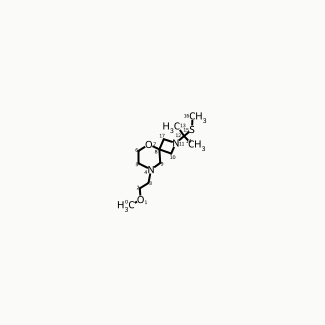 COCCN1CCOC2(C1)CN(C(C)(C)SC)C2